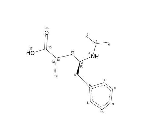 CC(C)N[C@@H](Cc1ccccc1)C[C@H](C)C(=O)O